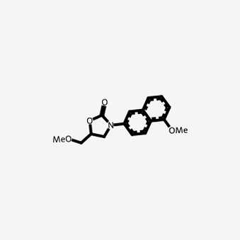 COCC1CN(c2ccc3c(OC)cccc3c2)C(=O)O1